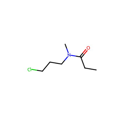 CCC(=O)N(C)CCCCl